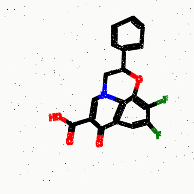 O=C(O)c1cn2c3c(c(F)c(F)cc3c1=O)OC(c1ccccc1)C2